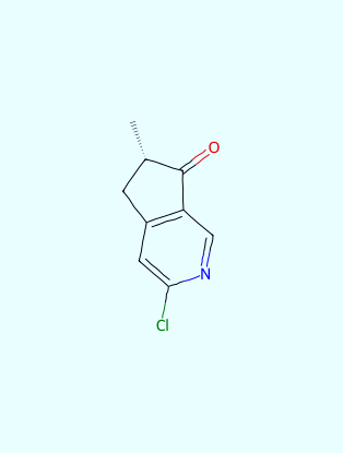 C[C@H]1Cc2cc(Cl)ncc2C1=O